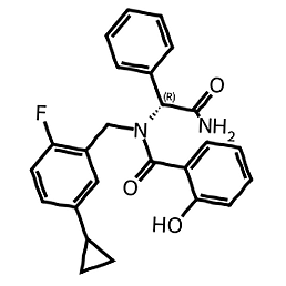 NC(=O)[C@@H](c1ccccc1)N(Cc1cc(C2CC2)ccc1F)C(=O)c1ccccc1O